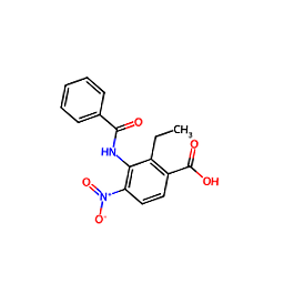 CCc1c(C(=O)O)ccc([N+](=O)[O-])c1NC(=O)c1ccccc1